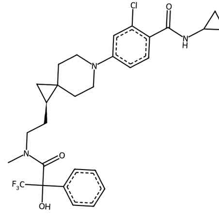 CN(CC[C@H]1CC12CCN(c1ccc(C(=O)NC3CC3)c(Cl)c1)CC2)C(=O)C(O)(c1ccccc1)C(F)(F)F